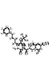 Cc1cc(O)cc(C)c1C[C@H](N)C(=O)NC(=O)[C@@H](C)N(CCCCc1ccccc1)C(=O)OC(C)(C)C